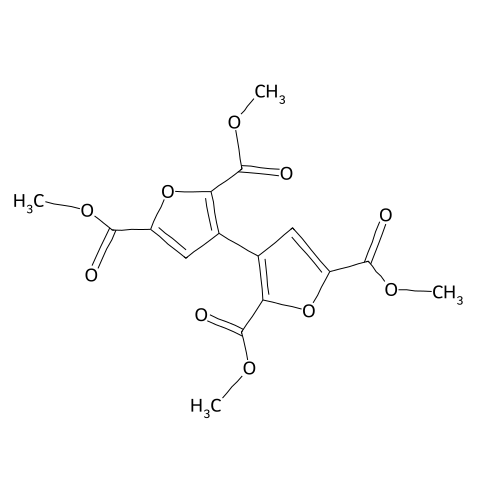 COC(=O)c1cc(-c2cc(C(=O)OC)oc2C(=O)OC)c(C(=O)OC)o1